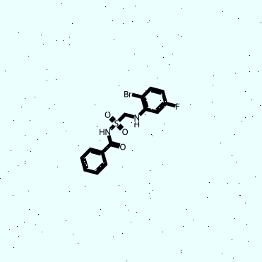 O=C(NS(=O)(=O)CNc1cc(F)ccc1Br)c1ccccc1